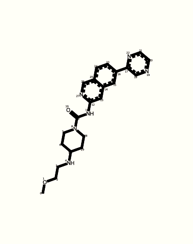 COCCNC1CCN(C(=O)Nc2cc3cc(-c4cnccn4)ccc3cn2)CC1